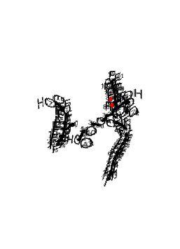 CCOC(F)(C(F)(F)C(F)(F)OC(F)(F)C(=O)O)C(F)(F)C(F)(F)C(F)(F)F.O=CCOC(CC(CCOCCOCC(=O)O)OC(=O)C(F)(F)C(F)(F)OC(F)(F)C(F)(F)C(F)(F)C(F)(F)C(F)(F)C(F)(F)C(F)(F)C(F)(F)F)(C(=O)O)C(F)(C(F)(F)F)C(F)(F)C(F)(F)C(F)(F)C(F)(F)F